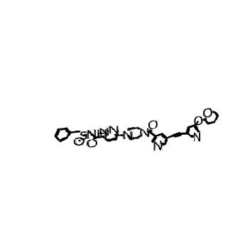 O=C(N[S+]([O-])Cc1ccccc1)c1ccc(N2CCN(C(=O)c3cncc(C#Cc4cncc(OC5CCCCO5)c4)c3)CC2)nn1